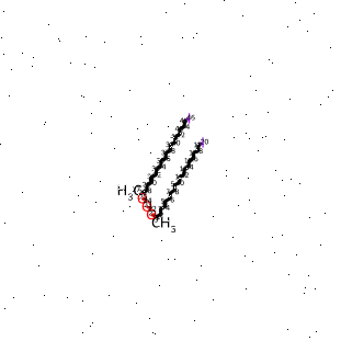 CC(CCC=CCCCCCCCCCCCCCCI)OCOCOC(C)CCC=CCCCCCCCCCCCCCCI